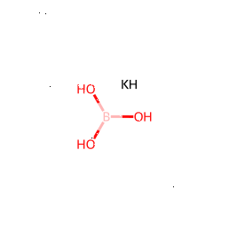 OB(O)O.[KH]